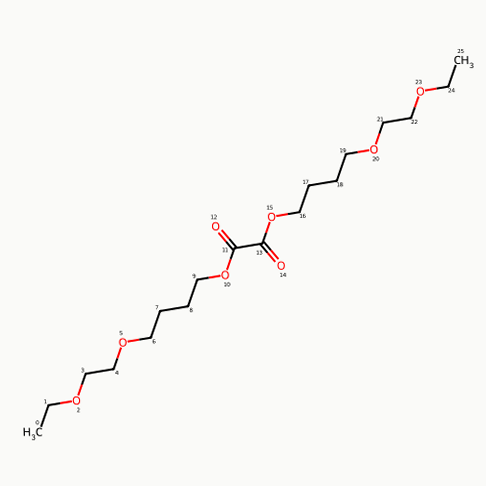 CCOCCOCCCCOC(=O)C(=O)OCCCCOCCOCC